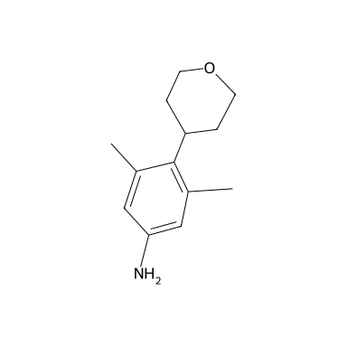 Cc1cc(N)cc(C)c1C1CCOCC1